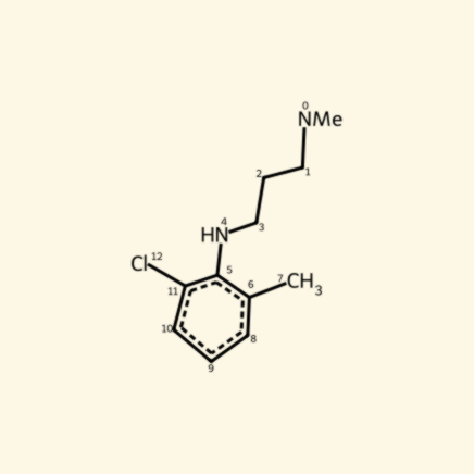 CNCCCNc1c(C)cccc1Cl